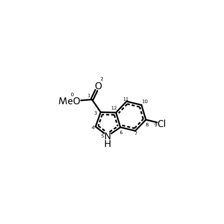 COC(=O)c1c[nH]c2cc(Cl)ccc12